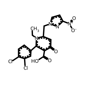 CCn1c(Cn2ccc([N+](=O)[O-])n2)cc(=O)c(C(=O)O)c1-c1ccc(Cl)c(Cl)c1